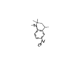 CC1CC(C)(C)N(C)c2ccc(N=O)cc21